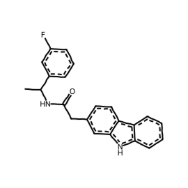 CC(NC(=O)Cc1ccc2c(c1)[nH]c1ccccc12)c1cccc(F)c1